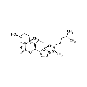 CC(C)CCC[C@@H](C)[C@H]1CC=C2C3=C(CC[C@@]21C)[C@@]1(C)CC[C@H](O)C[C@@H]1C(=O)O3